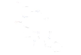 CCn1c(-c2nc3cc(C(=O)N4CC(N)CC(O)C4)ccc3n2C)cc2ccccc21.Cl